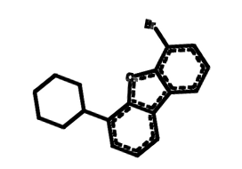 Brc1cccc2c1oc1c(C3CCCCC3)cccc12